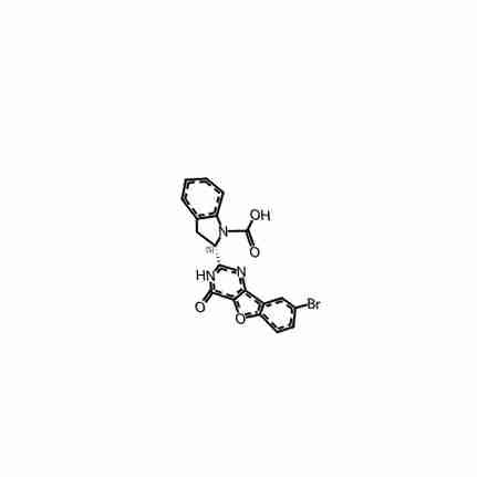 O=C(O)N1c2ccccc2C[C@H]1c1nc2c(oc3ccc(Br)cc32)c(=O)[nH]1